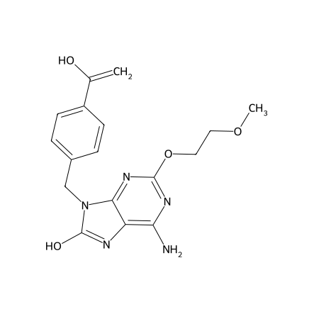 C=C(O)c1ccc(Cn2c(O)nc3c(N)nc(OCCOC)nc32)cc1